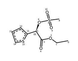 CCOC(=O)[C@H](OS(C)(=O)=O)c1cccs1